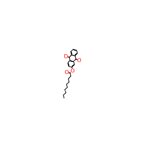 CCCCCCCCCC(=O)Oc1ccc2c(c1)C(=O)c1ccccc1C2=O